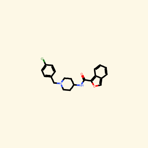 O=C(NC1CCN(Cc2ccc(Cl)cc2)CC1)c1occ2ccccc12